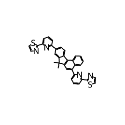 CC1(C)c2cc(-c3cccc(-c4nccs4)n3)ccc2-c2c1cc(-c1cccc(-c3nccs3)n1)c1ccccc21